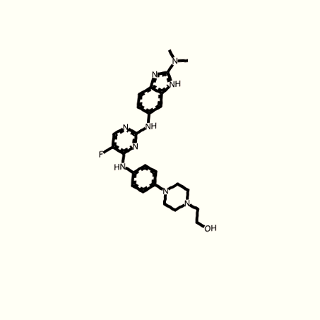 CN(C)c1nc2ccc(Nc3ncc(F)c(Nc4ccc(N5CCN(CCO)CC5)cc4)n3)cc2[nH]1